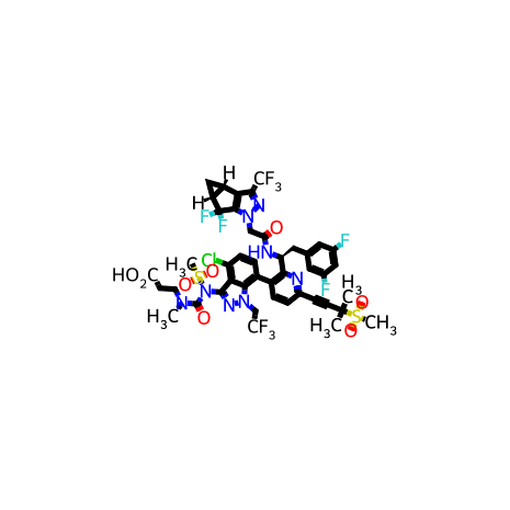 CN(CCC(=O)O)C(=O)N(c1nn(CC(F)(F)F)c2c(-c3ccc(C#CC(C)(C)S(C)(=O)=O)nc3[C@H](Cc3cc(F)cc(F)c3)NC(=O)Cn3nc(C(F)(F)F)c4c3C(F)(F)[C@@H]3C[C@H]43)ccc(Cl)c12)S(C)(=O)=O